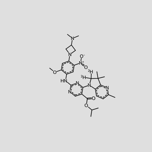 [2H]C1([2H])N(c2nc(Nc3cc([N+](=O)[O-])c(N4CC(N(C)C)C4)cc3OC)ncc2C(=O)OC(C)C)c2ccc(C)nc2C1(C)C